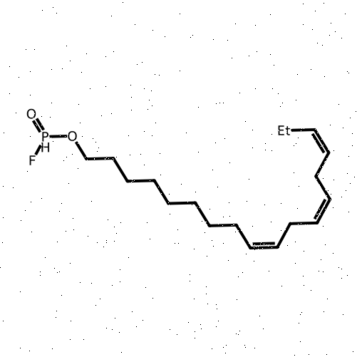 CC/C=C\C/C=C\C/C=C\CCCCCCCCO[PH](=O)F